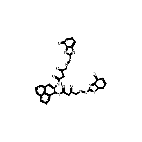 O=C(CN=NC1=NC2=CC=CC(=O)C2=N1)CC(=O)NC1=Cc2cccc3cccc(c23)C1NC(=O)CC(=O)CN=NC1=NC2=CC=CC(=O)C2=N1